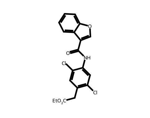 CCOC(=O)Cc1cc(Cl)c(NC(=O)c2coc3ccccc23)cc1Cl